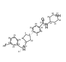 C[C@@H](NC1CC[C@H](c2ccc(C(=O)NC3CCNCC3)cc2)C1)c1cccc(F)c1